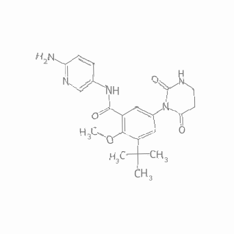 COc1c(C(=O)Nc2ccc(N)nc2)cc(N2C(=O)CCNC2=O)cc1C(C)(C)C